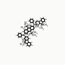 CC(C)(C)c1c2ccc(N(c3ccccc3)C3(C)C=CC4=C(C3)C(C)(C)c3ccccc34)cc2c(C(C)(C)C)c2ccc(N(c3ccccc3)c3ccc4c(c3)C(C)(C)c3ccccc3-4)cc12